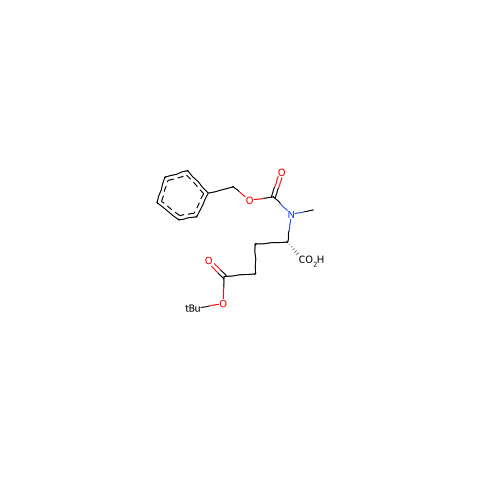 CN(C(=O)OCc1ccccc1)[C@@H](CCC(=O)OC(C)(C)C)C(=O)O